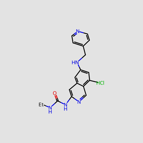 CCNC(=O)Nc1cc2cc(NCc3ccncc3)cc(C)c2cn1.Cl